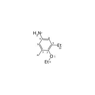 CCOc1c(C)cc(N)cc1CC